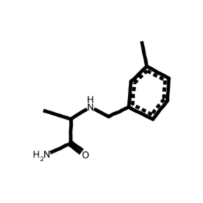 Cc1cccc(CNC(C)C(N)=O)c1